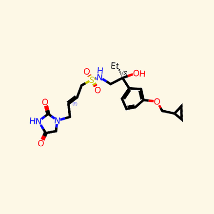 CC[C@@](O)(CNS(=O)(=O)C/C=C/CN1CC(=O)NC1=O)c1cccc(OCC2CC2)c1